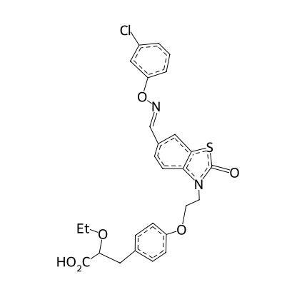 CCOC(Cc1ccc(OCCn2c(=O)sc3cc(C=NOc4cccc(Cl)c4)ccc32)cc1)C(=O)O